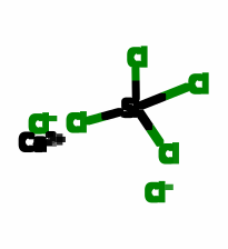 Cl[Si](Cl)(Cl)Cl.[Ca+2].[Cl-].[Cl-]